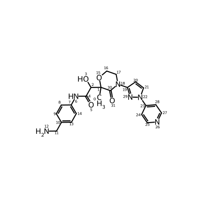 CC1(C(O)C(=O)Nc2ccc(CN)cc2)OCCN(c2ccn(-c3ccncc3)n2)C1=O